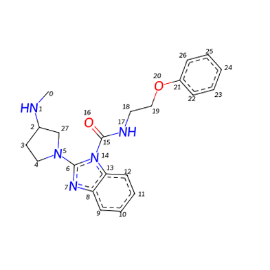 CNC1CCN(c2nc3ccccc3n2C(=O)NCCOc2ccccc2)C1